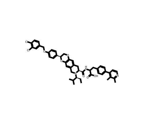 CC[C@@H](C(C)C)N1Cc2cc3c(cc2C[C@H]1C(=O)NC(Cc1ccc(-c2ccnc(C)c2C)cc1)C(=O)O)OC[C@H](c1ccc(OCc2ccc(Cl)c(Cl)c2)cc1)O3